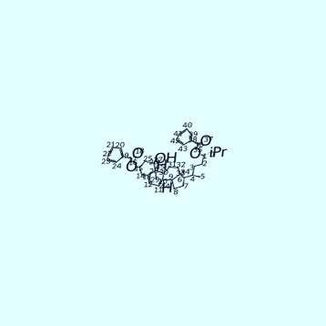 CC(C)[C@H](CC[C@@H](C)[C@H]1CC[C@H]2C3=CC=C4C[C@@H](OC(=O)c5ccccc5)C[C@H](O)[C@]4(C)[C@H]3CC[C@]12C)OC(=O)c1ccccc1